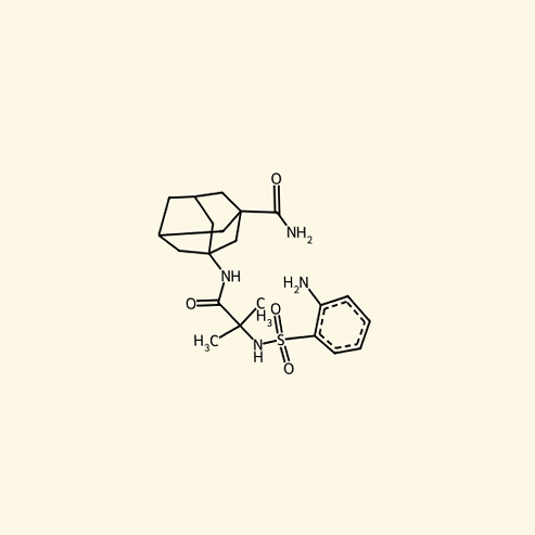 CC(C)(NS(=O)(=O)c1ccccc1N)C(=O)NC12CC3CC(C1)CC(C(N)=O)(C3)C2